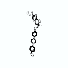 C[C@]1(COc2ccc(N3CCN(c4ccc(Cl)cc4)CC3)cc2)Cn2cc([N+](=O)[O-])nc2O1